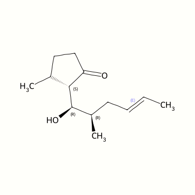 C/C=C/C[C@@H](C)[C@@H](O)[C@H]1C(=O)CCC1C